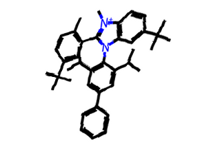 Cc1ccc(C(C)(C)C)cc1-c1n(-c2c(C(C)C)cc(-c3ccccc3)cc2C(C)C)c2cc(C(C)(C)C)ccc2[n+]1C